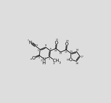 Cc1[nH]c(=O)c(C#N)cc1C(=O)CC(=O)c1ccco1